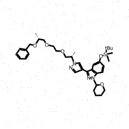 C[C@H](COCCOC[C@H](C)n1cc(-c2nn(C3CCCCO3)c3ccc(O[Si](C)(C)C(C)(C)C)cc23)cn1)OCc1ccccc1